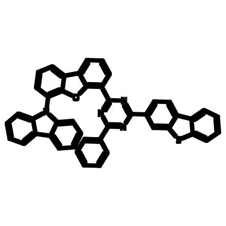 c1ccc(-c2nc(-c3ccc4c(c3)sc3ccccc34)nc(-c3cccc4c3oc3c(-n5c6ccccc6c6ccccc65)cccc34)n2)cc1